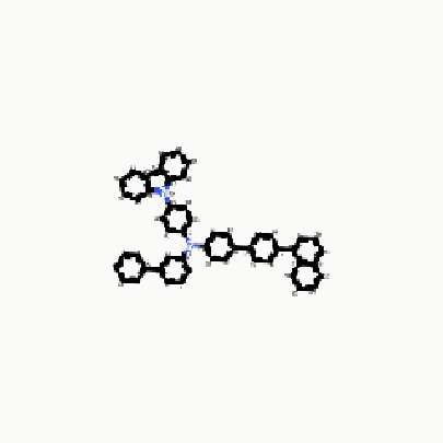 c1ccc(-c2cccc(N(c3ccc(-c4ccc(-c5cccc6ccccc56)cc4)cc3)c3ccc(-n4c5ccccc5c5ccccc54)cc3)c2)cc1